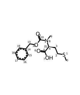 CSCC[C@@H](C(=O)O)N(C)C(=O)OCc1ccccc1